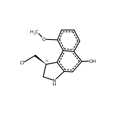 COc1cccc2c(O)cc3c(c12)[C@H](CCl)CN3